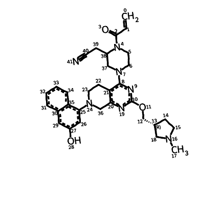 C=CC(=O)N1CCN(c2nc(OC[C@@H]3CCN(C)C3)nc3c2CCN(c2cc(O)cc4ccccc24)C3)CC1CC#N